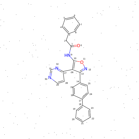 O=C(Cc1ccccc1)Nc1onc(-c2ccc(-c3ccccc3)cc2)c1-c1ccncn1